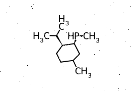 CP[C@H]1CC(C)CC[C@H]1C(C)C